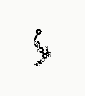 CC(C)(O)COc1cc(-c2ccc(N3CCN(CC#Cc4ccccc4)CC3)nc2)c2c(C#N)cnn2c1